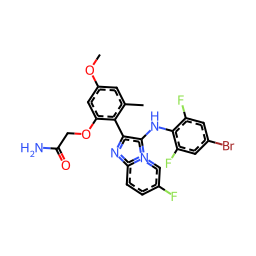 COc1cc(C)c(-c2nc3ccc(F)cn3c2Nc2c(F)cc(Br)cc2F)c(OCC(N)=O)c1